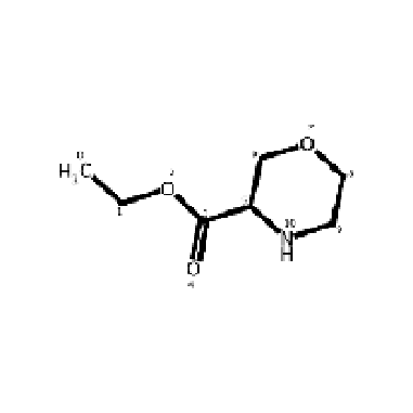 CCOC(=O)C1COCCN1